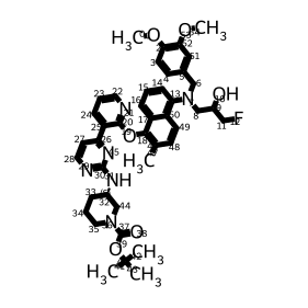 COc1ccc(CN(CC(O)CF)c2cccc3c(Oc4ncccc4-c4ccnc(N[C@H]5CCCN(C(=O)OC(C)(C)C)C5)n4)c(C)ccc23)cc1OC